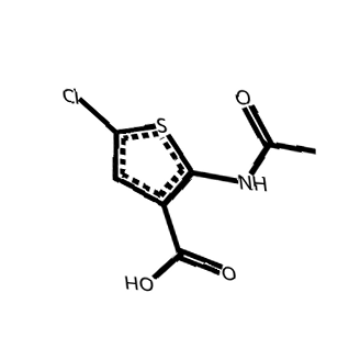 CC(=O)Nc1sc(Cl)cc1C(=O)O